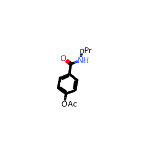 CCCNC(=O)c1ccc(OC(C)=O)cc1